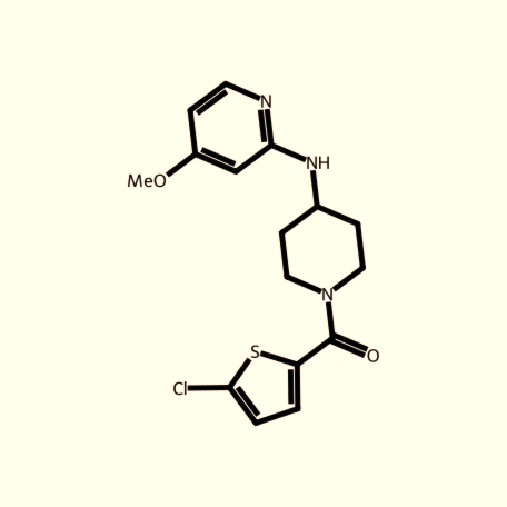 COc1ccnc(NC2CCN(C(=O)c3ccc(Cl)s3)CC2)c1